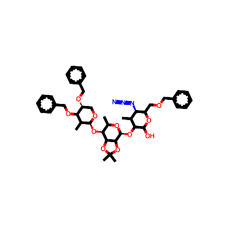 CC1C(OCc2ccccc2)[C@H](OCc2ccccc2)CO[C@H]1O[C@H]1C(C)O[C@@H](OC2C(O)OC(COCc3ccccc3)[C@H](N=[N+]=[N-])C2C)C2OC(C)(C)OC21